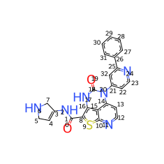 O=C(NC1=CCNC1)c1sc2nccc3c2c1NC(=O)N3c1ccnc(-c2ccccc2)c1